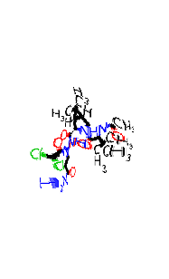 CC(=O)N[C@H](C(O)N1C[C@H]2[C@@H]([C@H]1C(=O)NN(CCC(N)=O)C(=O)C(Cl)Cl)C2(C)C)C(C)(C)C